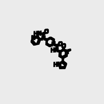 Cn1cc(-c2ccc[nH]2)cc(NC(=O)N2CCC(n3c(=O)[nH]c4ncccc43)CC2)c1=O